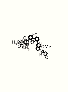 COc1nc(-c2ccc(F)c(-c3c(F)ccc(NC(=O)c4nn(C)c(=O)n(C)c4=O)c3Cl)c2Cl)cc2c1C(N1CC3(CCC(=O)N3)C1)CC2